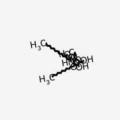 C/C=C\OC1OC(CO)C(O)C(OCCCCCCCCCC)C1NC(=O)CC(=O)CCCCCCCCCCC